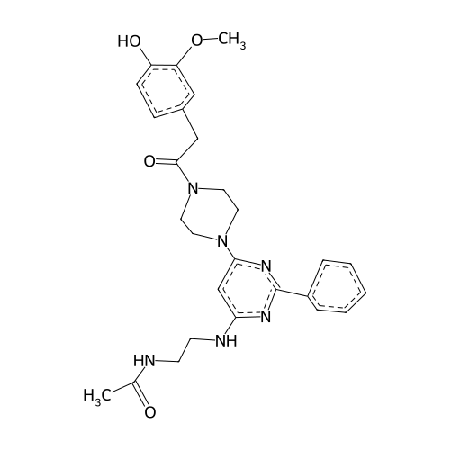 COc1cc(CC(=O)N2CCN(c3cc(NCCNC(C)=O)nc(-c4ccccc4)n3)CC2)ccc1O